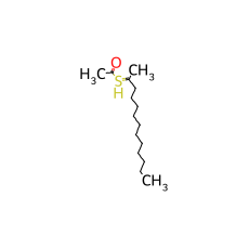 CCCCCCCCCCCC(C)=[SH]C(C)=O